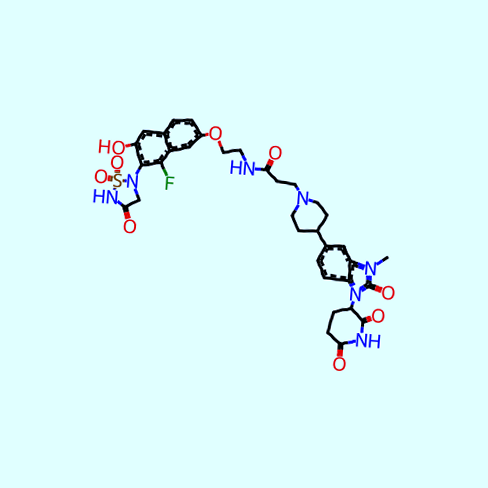 Cn1c(=O)n(C2CCC(=O)NC2=O)c2ccc(C3CCN(CCC(=O)NCCOc4ccc5cc(O)c(N6CC(=O)NS6(=O)=O)c(F)c5c4)CC3)cc21